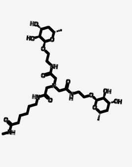 CNC(=O)CCCCCNC(=O)CN(CC(=O)NCCO[C@@H]1O[C@@H](C)C[C@@H](O)[C@@H]1O)CC(=O)NCCO[C@@H]1O[C@@H](C)C[C@@H](O)[C@@H]1O